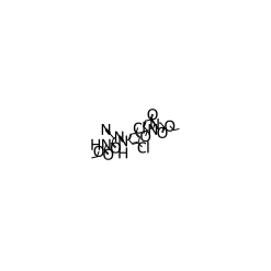 CCOC(=O)Cn1nc(Oc2c(Cl)cc(NN=C(C#N)C(=O)NC(=O)OCC)cc2Cl)ccc1=O